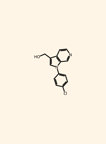 OCc1cn(-c2ccc(Cl)cc2)c2cnccc12